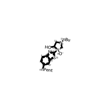 CCCCCc1ccc2nc([N+]3([O-])CN(CCCC)CC3O)sc2c1